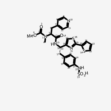 COC(=O)N(C)C(Cc1ccncc1)C(=O)N[C@@H](Cc1ccc(NS(=O)(=O)O)cc1)c1csc(-c2cccs2)n1